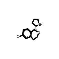 Clc1ccc2c(c1)CCO[C@H]2C1CCCN1